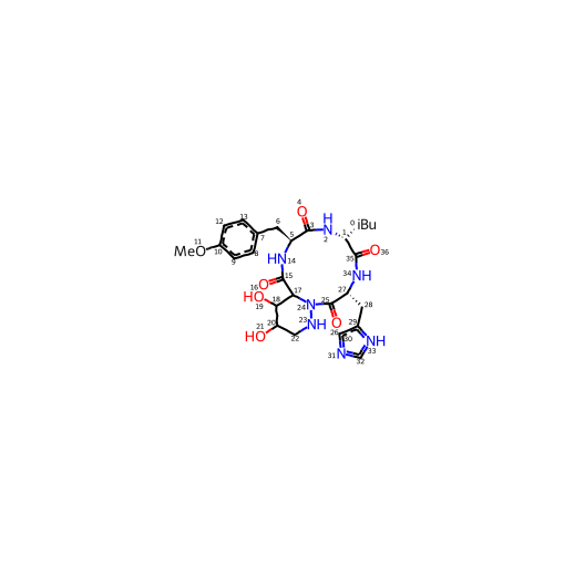 CC[C@@H](C)[C@H]1NC(=O)[C@H](Cc2ccc(OC)cc2)NC(=O)C2C(O)C(O)CNN2C(=O)[C@@H](Cc2cnc[nH]2)NC1=O